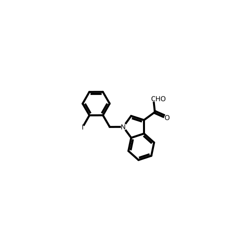 O=CC(=O)c1cn(Cc2ccccc2I)c2ccccc12